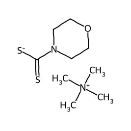 C[N+](C)(C)C.S=C([S-])N1CCOCC1